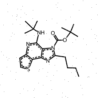 CCCCc1nc2c3sccc3nc(NC(C)(C)C)c2n1C(=O)OC(C)(C)C